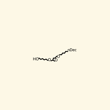 CCCCCCCCCCCCCCCCOCC1CC(COCCCCCCO)CO1